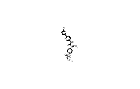 CCS(=O)(=O)N1CCC(N(C)C(=O)Nc2ccc(-c3ccc(Cl)s3)nc2)CC1